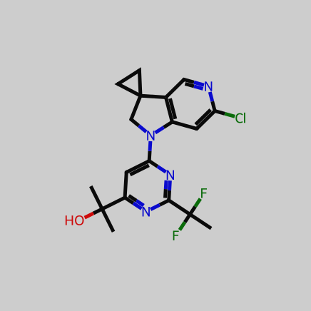 CC(C)(O)c1cc(N2CC3(CC3)c3cnc(Cl)cc32)nc(C(C)(F)F)n1